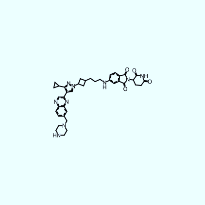 O=C1CCC(N2C(=O)c3ccc(NCCCC4CC(n5cc(-c6cnc7ccc(CN8CCNCC8)cc7n6)c(C6CC6)n5)C4)cc3C2=O)C(=O)N1